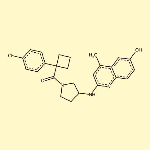 Cc1cc(NC2CCN(C(=O)C3(c4ccc(Cl)cc4)CCC3)C2)nc2ccc(O)cc12